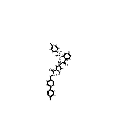 Cc1ccc(-c2ccc(CNC(=O)c3cc(NC(=O)c4ccccc4NS(=O)(=O)c4ccc(C)cc4)cn3C)cc2)cc1